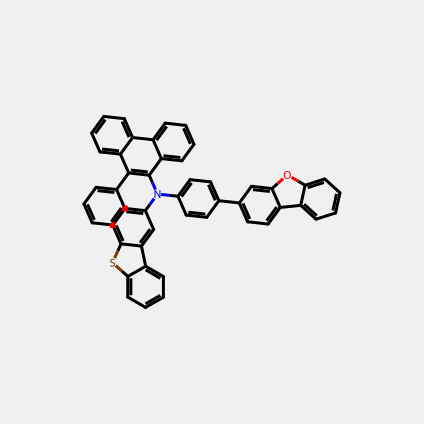 c1ccc(-c2c(N(c3ccc(-c4ccc5c(c4)oc4ccccc45)cc3)c3ccc4sc5ccccc5c4c3)c3ccccc3c3ccccc23)cc1